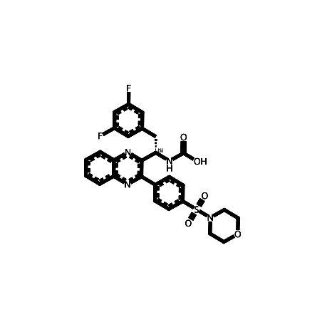 O=C(O)N[C@@H](Cc1cc(F)cc(F)c1)c1nc2ccccc2nc1-c1ccc(S(=O)(=O)N2CCOCC2)cc1